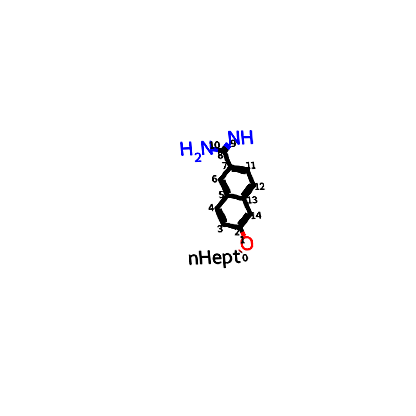 CCCCCCCOc1ccc2cc(C(=N)N)ccc2c1